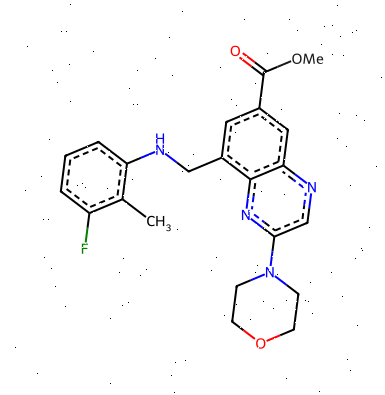 COC(=O)c1cc(CNc2cccc(F)c2C)c2nc(N3CCOCC3)cnc2c1